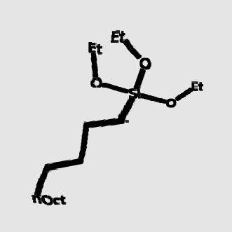 CCCCCCCCCCC[CH][Si](OCC)(OCC)OCC